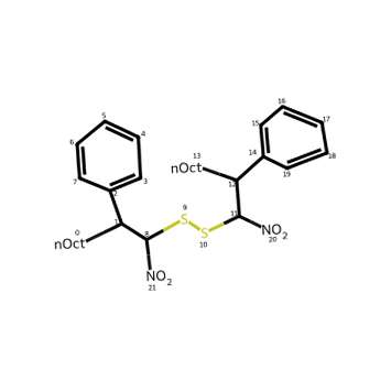 CCCCCCCCC(c1ccccc1)C(SSC(C(CCCCCCCC)c1ccccc1)[N+](=O)[O-])[N+](=O)[O-]